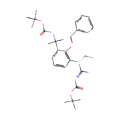 CCN(C(N)=NC(=O)OC(C)(C)C)c1cccc(C(C)(C)NC(=O)OC(C)(C)C)c1OCc1ccccc1